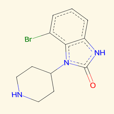 O=c1[nH]c2cccc(Br)c2n1C1CCNCC1